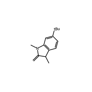 C=C1C(C)c2ccc(C(C)(C)C)cc2N1C